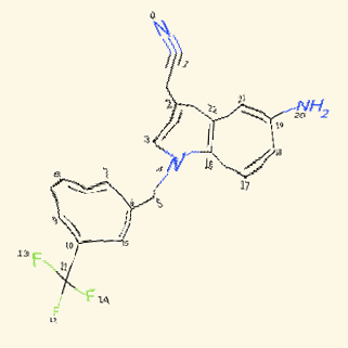 N#Cc1cn(Cc2cccc(C(F)(F)F)c2)c2ccc(N)cc12